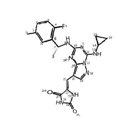 Cc1ccc(F)c([C@@H](C)Nc2nc(NC3CC3)n3ncc(/C=C4\NC(=O)NC4=O)c3n2)c1